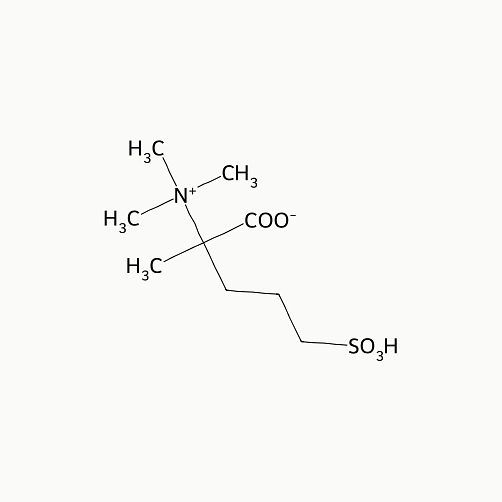 CC(CCCS(=O)(=O)O)(C(=O)[O-])[N+](C)(C)C